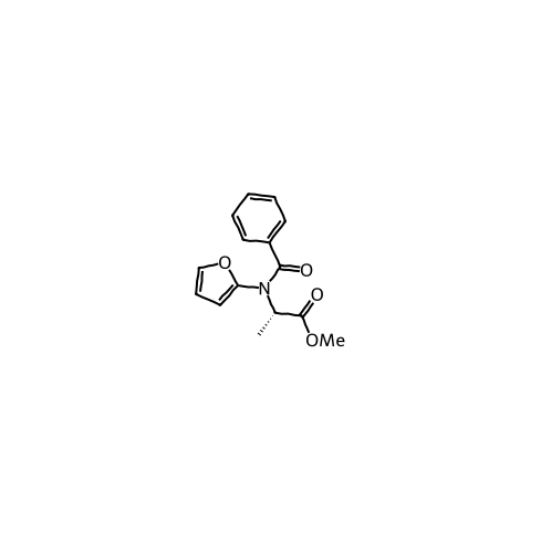 COC(=O)[C@H](C)N(C(=O)c1ccccc1)c1ccco1